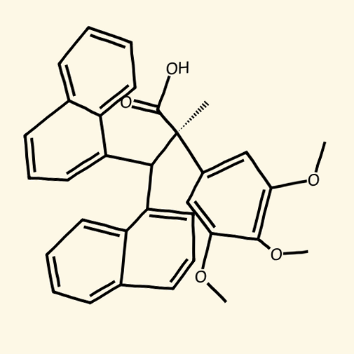 COc1cc([C@](C)(C(=O)O)C(c2cccc3ccccc23)c2cccc3ccccc23)cc(OC)c1OC